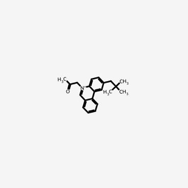 CC(=O)C[n+]1cc2ccccc2c2cc(CC(C)(C)C)ccc21